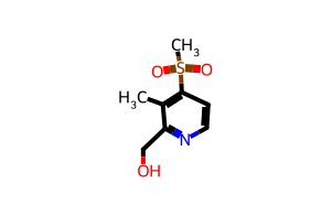 Cc1c(S(C)(=O)=O)ccnc1CO